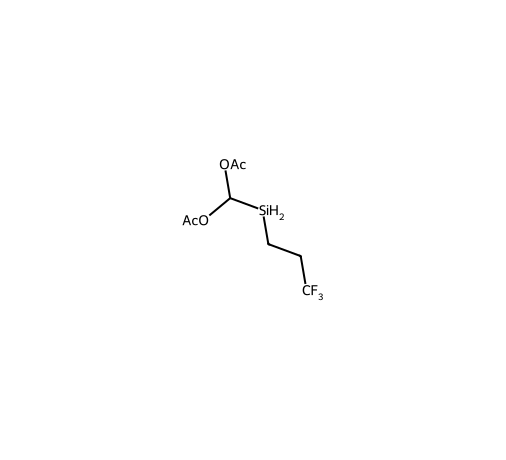 CC(=O)OC(OC(C)=O)[SiH2]CCC(F)(F)F